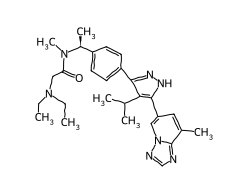 CCN(CC)CC(=O)N(C)[C@@H](C)c1ccc(-c2n[nH]c(-c3cc(C)c4ncnn4c3)c2C(C)C)cc1